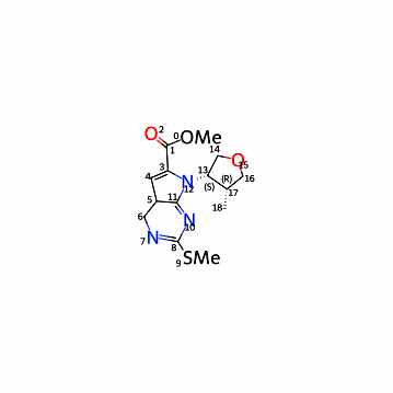 COC(=O)C1=CC2CN=C(SC)N=C2N1[C@@H]1COC[C@@H]1C